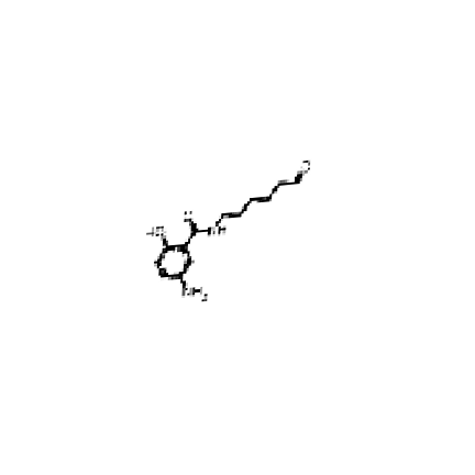 Nc1ccc(O)c(C(=O)NCCCCCC=O)c1